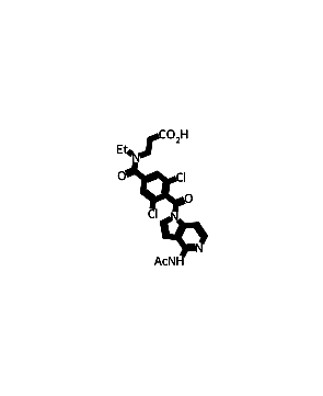 CCN(CCC(=O)O)C(=O)c1cc(Cl)c(C(=O)n2ccc3c(NC(C)=O)nccc32)c(Cl)c1